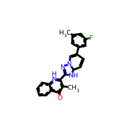 Cc1cc(F)cc(C2=CN3N=C(c4[nH]c5ccccc5c(=O)c4C)NC3C=C2)c1